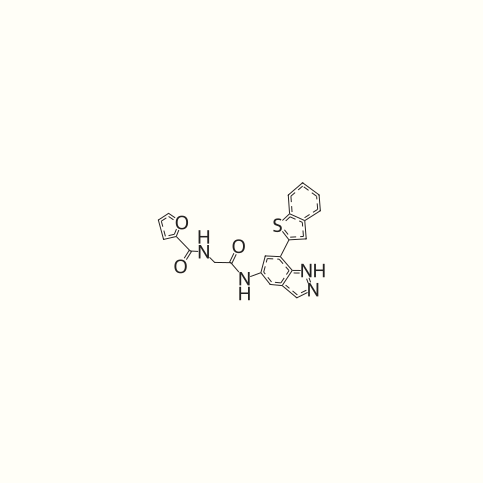 O=C(CNC(=O)c1ccco1)Nc1cc(-c2cc3ccccc3s2)c2[nH]ncc2c1